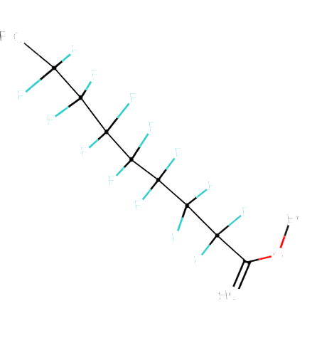 [CH]=C(OCC)C(F)(F)C(F)(F)C(F)(F)C(F)(F)C(F)(F)C(F)(F)C(F)(F)C(F)(F)F